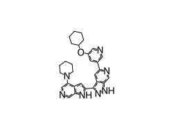 c1ncc(-c2cc3c(-c4cc5c(N6CCCCC6)cncc5[nH]4)n[nH]c3cn2)cc1OC1CCCCC1